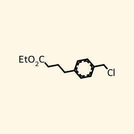 CCOC(=O)CCCc1ccc(CCl)cc1